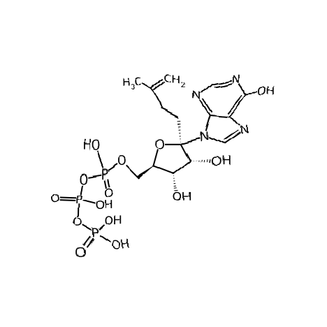 C=C(C)CC[C@@]1(n2cnc3c(O)ncnc32)O[C@H](COP(=O)(O)OP(=O)(O)OP(=O)(O)O)[C@@H](O)[C@H]1O